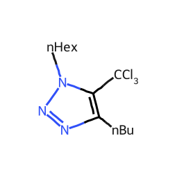 CCCCCCn1nnc(CCCC)c1C(Cl)(Cl)Cl